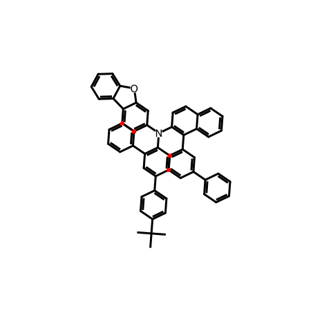 CC(C)(C)c1ccc(-c2ccc(N(c3ccc4c(c3)oc3ccccc34)c3ccc4ccccc4c3-c3cccc(-c4ccccc4)c3)c(-c3ccccc3)c2)cc1